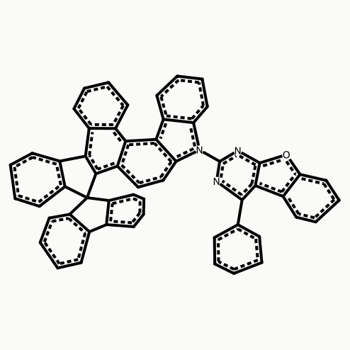 c1ccc(-c2nc(-n3c4ccccc4c4c5c(ccc43)c3c(c4ccccc45)-c4ccccc4C34c3ccccc3-c3ccccc34)nc3oc4ccccc4c23)cc1